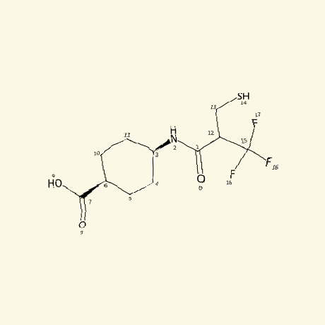 O=C(N[C@H]1CC[C@@H](C(=O)O)CC1)C(CS)C(F)(F)F